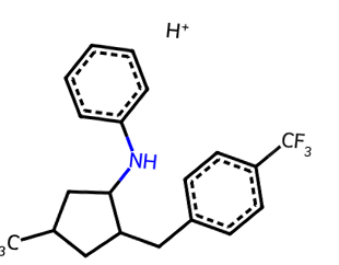 CC1CC(Cc2ccc(C(F)(F)F)cc2)C(Nc2ccccc2)C1.[H+]